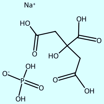 O=C(O)CC(O)(CC(=O)O)C(=O)O.O=P([O-])(O)O.[Na+]